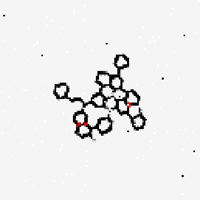 Fc1ccccc1-c1cccc(N2c3cc(-c4ccccc4F)ccc3B3C4=c5c(cccc5=C(c5ccccc5)CC4c4ccccc4)-c4cc(C(/C=C/c5ccccc5)c5ccccc5)cc2c43)c1